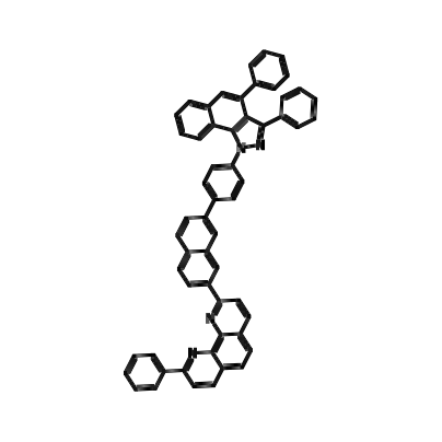 c1ccc(-c2ccc3ccc4ccc(-c5ccc6ccc(-c7ccc(-n8nc(-c9ccccc9)c9c(-c%10ccccc%10)cc%10ccccc%10c98)cc7)cc6c5)nc4c3n2)cc1